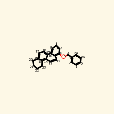 c1ccc(COc2cccc3c2ccc2c4c(ccc23)CCCC4)cc1